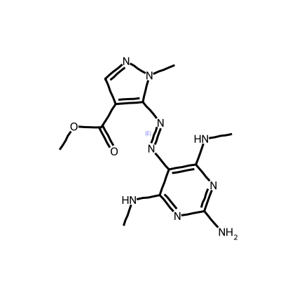 CNc1nc(N)nc(NC)c1/N=N/c1c(C(=O)OC)cnn1C